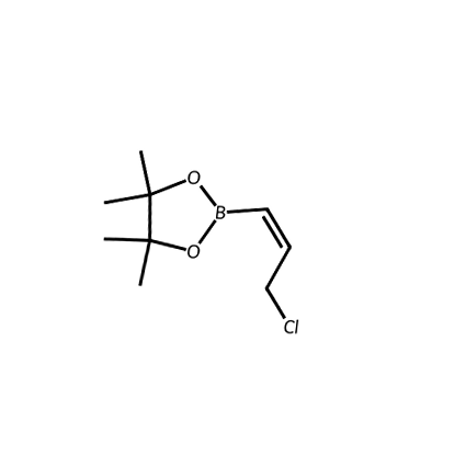 CC1(C)OB(/C=C\CCl)OC1(C)C